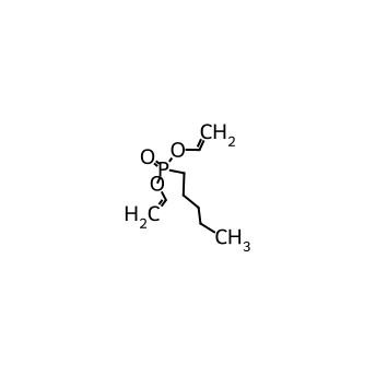 C=COP(=O)(CCCCC)OC=C